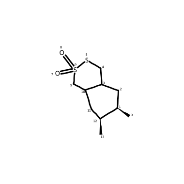 C[C@@H]1CC2CSS(=O)(=O)CC2C[C@@H]1C